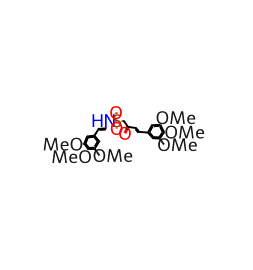 COc1cc(C=CNS(=O)(=O)CC(=O)C=Cc2cc(OC)c(OC)c(OC)c2)cc(OC)c1OC